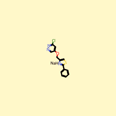 Clc1cc(OCc2csc(-c3ccccc3)n2)cnn1.[NaH]